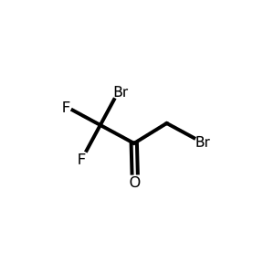 O=C(CBr)C(F)(F)Br